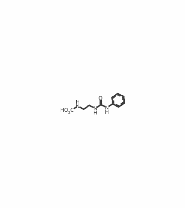 O=C(O)NCCNC(=O)Nc1ccccc1